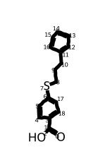 O=C(O)c1ccc(SCCCc2ccccc2)cc1